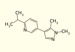 Cc1c(-c2ccc(C(C)C)nc2)cnn1C